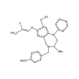 CCCCC1CN(c2ccccc2)c2cc(SCC)c(O/C=C(\F)C(=O)O)cc2SN1Cc1ccc(OC)cc1